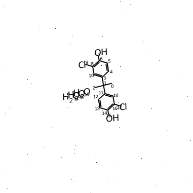 CC(C)(c1ccc(O)c(Cl)c1)c1ccc(O)c(Cl)c1.O.O.O